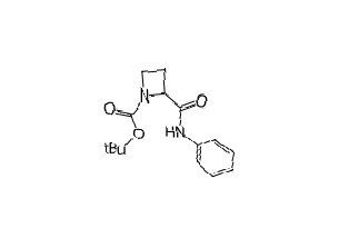 CC(C)(C)OC(=O)N1CCC1C(=O)Nc1ccccc1